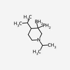 BC1(P)CN(C(C)C)CCC1C(C)C